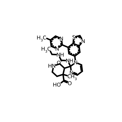 CCNC(=O)NC1(C2CNCCC2(C)C(=O)O)N=CC=CN1c1cc(-c2ncc(C)cn2)c2scnc2c1